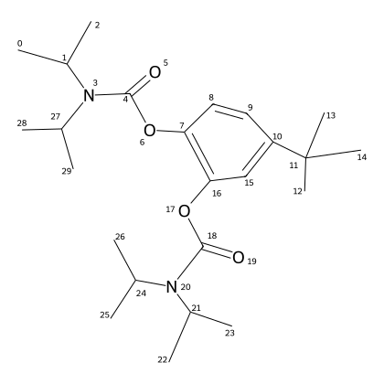 CC(C)N(C(=O)Oc1ccc(C(C)(C)C)cc1OC(=O)N(C(C)C)C(C)C)C(C)C